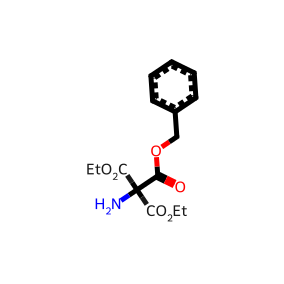 CCOC(=O)C(N)(C(=O)OCC)C(=O)OCc1ccccc1